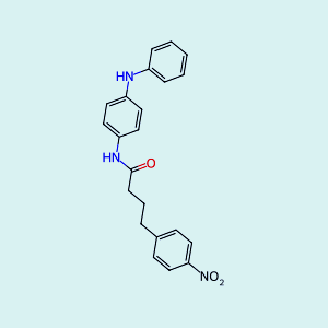 O=C(CCCc1ccc([N+](=O)[O-])cc1)Nc1ccc(Nc2ccccc2)cc1